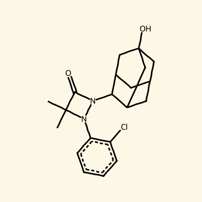 CC1(C)C(=O)N(C2C3CC4CC2CC(O)(C4)C3)N1c1ccccc1Cl